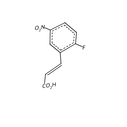 O=C(O)/C=C/c1cc([N+](=O)[O-])ccc1F